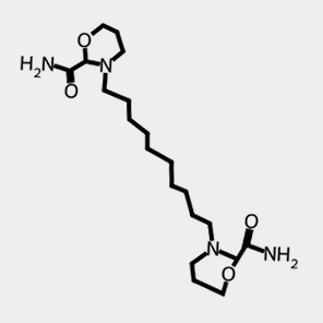 NC(=O)C1OCCCN1CCCCCCCCCCN1CCCOC1C(N)=O